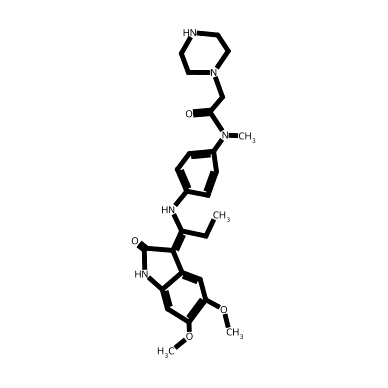 CC/C(Nc1ccc(N(C)C(=O)CN2CCNCC2)cc1)=C1/C(=O)Nc2cc(OC)c(OC)cc21